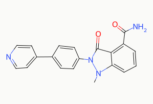 Cn1c2cccc(C(N)=O)c2c(=O)n1-c1ccc(-c2ccncc2)cc1